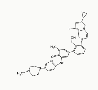 CN1CCN(c2ccc(Nc3cc(-c4cccc(N5C=Cc6cc(C7CC7)cc(F)c6C5)c4CO)cn(C)c3=O)nc2)CC1